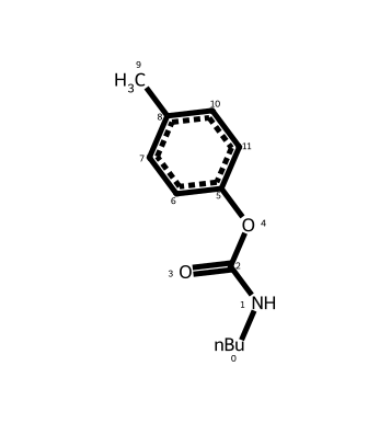 CCCCNC(=O)Oc1ccc(C)cc1